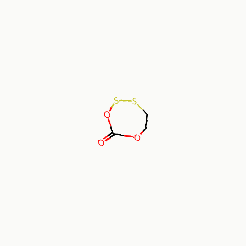 O=C1OCCSSO1